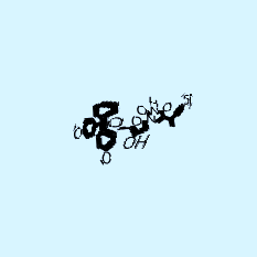 C=C(C#C[Si](C)(C)C)c1cn([C@H]2C[C@H](O)[C@@H](COC(c3ccccc3)(c3ccc(OC)cc3)c3ccc(OC)cc3)O2)c(=O)[nH]c1=O